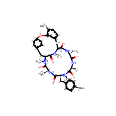 CC[C@@H]1NC(=O)[C@@H](C)NC(=O)[C@@H]2Cc3ccc(OC)c(c3)Oc3ccc(cc3)C[C@@H](C(=O)N2C)N(C)C(=O)[C@H](C)NC(=O)[C@H](Cc2ccc(OC)cc2)N(C)C1=O